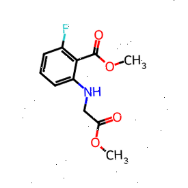 COC(=O)CNc1cccc(F)c1C(=O)OC